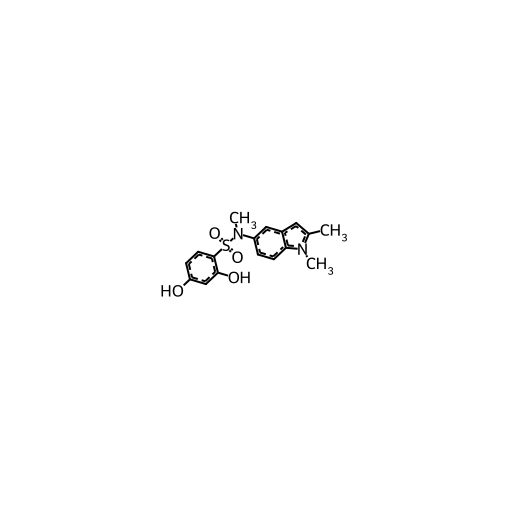 Cc1cc2cc(N(C)S(=O)(=O)c3ccc(O)cc3O)ccc2n1C